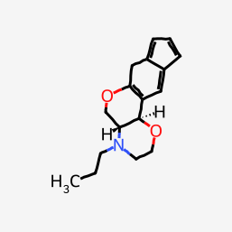 CCCN1CCO[C@@H]2C3=C(CC4=CC=CC4=C3)OC[C@H]21